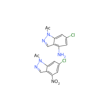 CC(=O)n1ncc2c(N)cc(Cl)cc21.CC(=O)n1ncc2c([N+](=O)[O-])cc(Cl)cc21